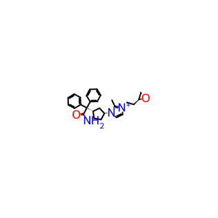 Cc1n([C@@H]2CC[C@H](C(C(N)=O)(c3ccccc3)c3ccccc3)C2)cc[n+]1CC[C@H]1CO1